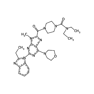 CCc1nc2ccccc2n1-c1nc(N2CCOCC2)c2nc(C(=O)N3CCN(C(=O)N(CC)CC)CC3)n(C)c2n1